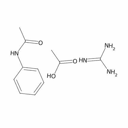 CC(=O)Nc1ccccc1.CC(=O)O.N=C(N)N